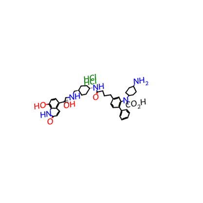 Cl.Cl.NC1CCC(N(C(=O)O)c2cc(CCCC(=O)N[C@H]3CC[C@H](CNC[C@H](O)c4ccc(O)c5[nH]c(=O)ccc45)CC3)ccc2-c2ccccc2)CC1